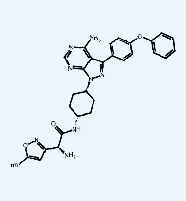 CC(C)(C)c1cc([C@H](N)C(=O)N[C@H]2CC[C@H](n3nc(-c4ccc(Oc5ccccc5)cc4)c4c(N)ncnc43)CC2)no1